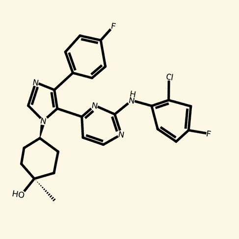 C[C@]1(O)CC[C@@H](n2cnc(-c3ccc(F)cc3)c2-c2ccnc(Nc3ccc(F)cc3Cl)n2)CC1